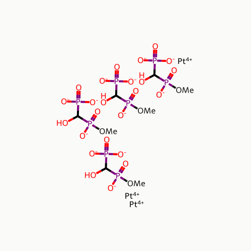 COP(=O)([O-])C(O)P(=O)([O-])[O-].COP(=O)([O-])C(O)P(=O)([O-])[O-].COP(=O)([O-])C(O)P(=O)([O-])[O-].COP(=O)([O-])C(O)P(=O)([O-])[O-].[Pt+4].[Pt+4].[Pt+4]